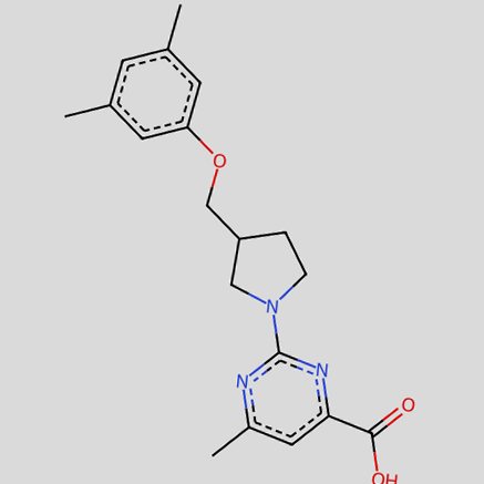 Cc1cc(C)cc(OCC2CCN(c3nc(C)cc(C(=O)O)n3)C2)c1